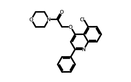 O=C(COc1cc(-c2ccccc2)nc2cccc(Cl)c12)N1CCOCC1